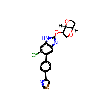 Clc1cc2[nH]c(OC3CO[C@@H]4CCO[C@H]34)nc2cc1-c1ccc(-c2cscn2)cc1